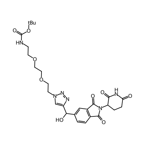 CC(C)(C)OC(=O)NCCOCCOCCn1cc(C(O)c2ccc3c(c2)C(=O)N(C2CCC(=O)NC2=O)C3=O)nn1